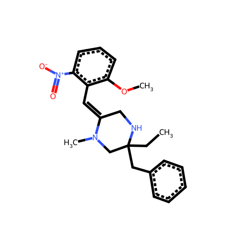 CCC1(Cc2ccccc2)CN(C)C(=Cc2c(OC)cccc2[N+](=O)[O-])CN1